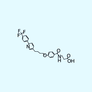 O=C(O)CCNC(=O)c1ccc(OCCCCc2ccc(-c3ccc(C(F)(F)F)cc3)nc2)cc1